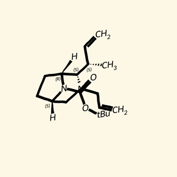 C=CCN1C[C@@H]2CC[C@H]([C@@H]1[C@@H](C)C=C)N2C(=O)OC(C)(C)C